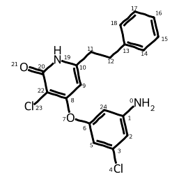 Nc1cc(Cl)cc(Oc2cc(CCc3ccccc3)[nH]c(=O)c2Cl)c1